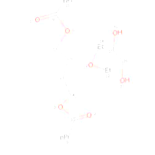 CCCC(=O)OCCCCOC(=O)CCC.CCOCC.OCCO